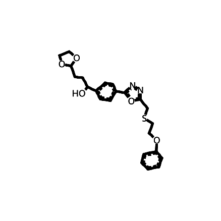 OC(CCC1OCCO1)c1ccc(-c2nnc(CSCCOc3ccccc3)o2)cc1